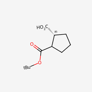 CC(C)(C)OC(=O)C1CCC[C@H]1C(=O)O